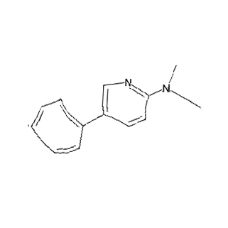 CN(C)c1ccc(-c2cc[c]cc2)cn1